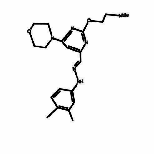 CNCCOc1nc(C=NNc2ccc(C)c(C)c2)cc(N2CCOCC2)n1